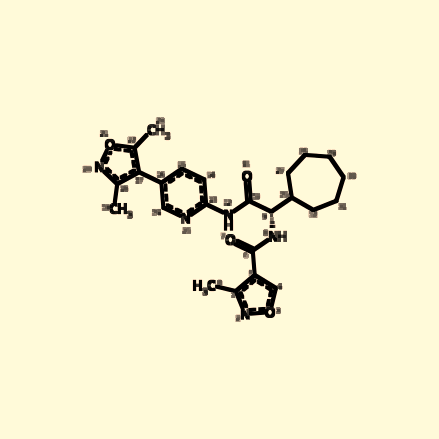 Cc1nocc1C(=O)N[C@H](C(=O)Nc1ccc(-c2c(C)noc2C)cn1)C1CCCCCC1